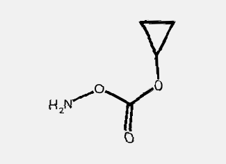 NOC(=O)OC1CC1